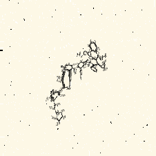 COc1ccccc1NC(=O)C1(C(=O)Nc2ccc(Oc3ccnc4cc(-c5cn(CCN6CCCC6)cn5)sc34)c(F)c2)CC1